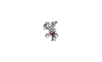 c1ccc(-c2cccc(-n3c4ccccc4c4cccc(-n5c6ccccc6c6c(-c7nc(-c8ccc9ccccc9c8)nc(-c8cccc9oc%10ccccc%10c89)n7)cccc65)c43)c2)cc1